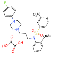 COc1ccccc1N(CCCN1CCN(c2ccc(F)cc2)CC1)S(=O)(=O)c1cccc([N+](=O)[O-])c1.O=C(O)C(=O)O